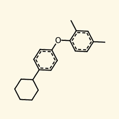 Cc1ccc(Oc2ccc(C3CCCCC3)cc2)c(C)c1